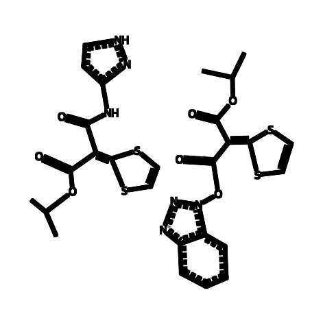 CC(C)OC(=O)C(C(=O)Nc1cc[nH]n1)=C1SC=CS1.CC(C)OC(=O)C(C(=O)On1nnc2ccccc21)=C1SC=CS1